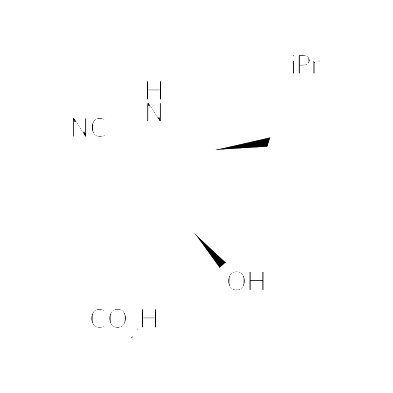 CC(C)C[C@H](NC#N)[C@@H](O)CC(=O)O